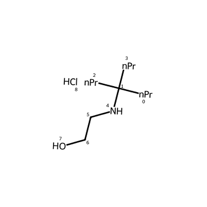 CCCC(CCC)(CCC)NCCO.Cl